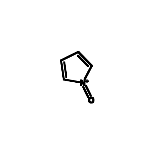 O=[N+]1C=CC=C1